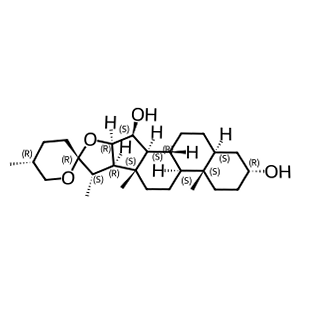 C[C@@H]1CC[C@@]2(OC1)O[C@H]1[C@@H](O)[C@H]3[C@@H]4CC[C@H]5C[C@H](O)CC[C@]5(C)[C@H]4CC[C@]3(C)[C@H]1[C@@H]2C